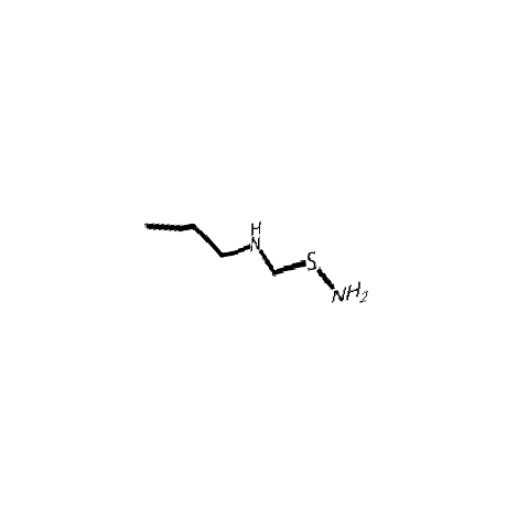 CCCNCSN